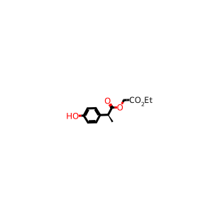 CCOC(=O)COC(=O)[C@@H](C)c1ccc(O)cc1